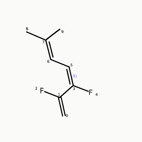 C=C(F)/C(F)=C\C=C(C)C